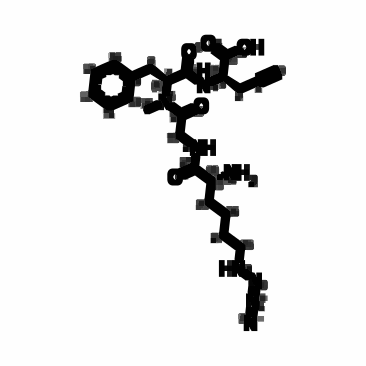 C#CC[C@@H](NC(=O)[C@H](Cc1ccccc1)N(C)C(=O)CNC(=O)[C@H](N)CCCCNN=[N+]=[N-])C(=O)O